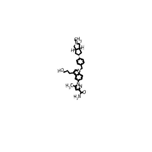 Cc1cc(C(N)=O)nn1-c1ccc2c(c1)c(CCCO)cn2Cc1ccc([C@@H]2C[C@@H]3CN(C)C[C@@H]3C2)cc1